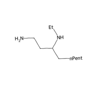 CCCCCCC(CCN)NCC